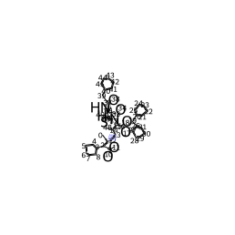 CC1=C(c2ccccc2)C(=O)O/C1=C/C1=C(C(=O)OC(c2ccccc2)c2ccccc2)N2C(=O)[C@@H](NC(=O)Cc3ccccc3)[C@H]2SC1